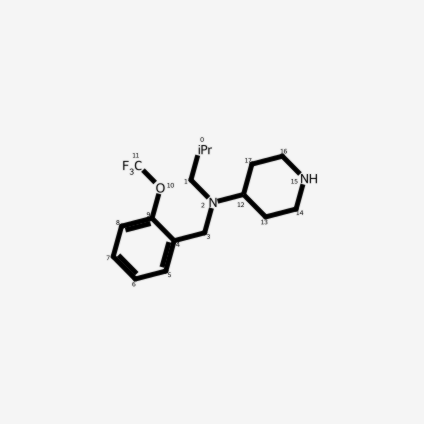 CC(C)CN(Cc1ccccc1OC(F)(F)F)C1CCNCC1